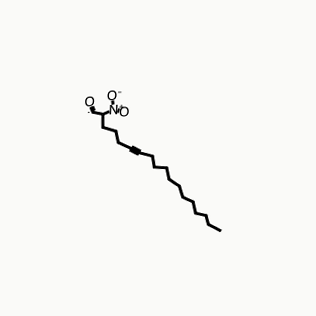 CCCCCCCCCCCC#CCCCC([C]=O)[N+](=O)[O-]